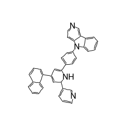 C1=C(c2ccc(-n3c4ccccc4c4cnccc43)cc2)NC(c2cccnc2)C=C1c1cccc2ccccc12